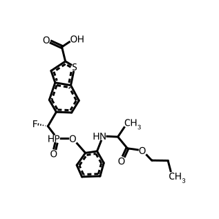 CCCOC(=O)C(C)Nc1ccccc1O[PH](=O)[C@H](F)c1ccc2sc(C(=O)O)cc2c1